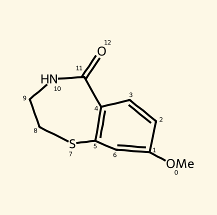 COc1ccc2c(c1)SCCNC2=O